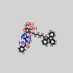 O=C(Nc1ncnc2c1ncn2[C@@H]1O[C@H](CO)C(O)C1OCCCCCCSC(c1ccccc1)(c1ccccc1)c1ccccc1)c1ccccc1